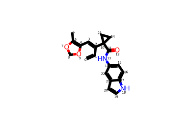 C=C/C(=C\C1=C(C)OCO1)C1(C(=O)Nc2ccc3[nH]ccc3c2)CC1